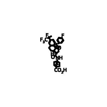 CC(F)(c1ccc2c(c1)CC[C@H]1[C@H](C(=O)NC34CCC(C(=O)O)(CC3)CC4)CC[C@@]21S(=O)(=O)c1ccc(F)cc1)C(F)(F)F